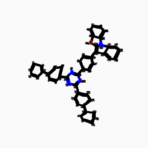 c1ccc(-c2ccc(-c3nc(-c4ccc(-c5ccccc5)cc4)nc(-c4ccc(-c5c6ccccc6n6c5sc5ccccc56)cc4)n3)cc2)cc1